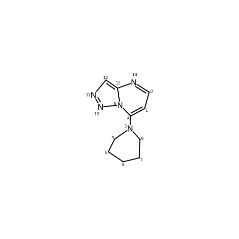 c1cc(N2CCCCC2)n2nncc2n1